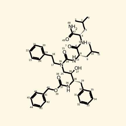 CC(C)C[C@H](NC(=O)[C@H](CC(C)C)NC(=O)N(CCc1ccccc1)C[C@@H](O)[C@H](Cc1ccccc1)NC(=O)OCc1ccccc1)C(N)=O